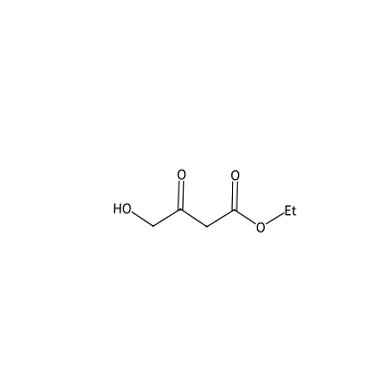 CCOC(=O)CC(=O)CO